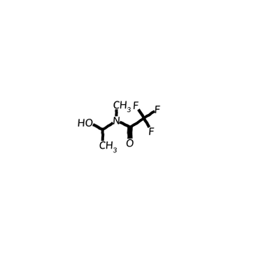 CC(O)N(C)C(=O)C(F)(F)F